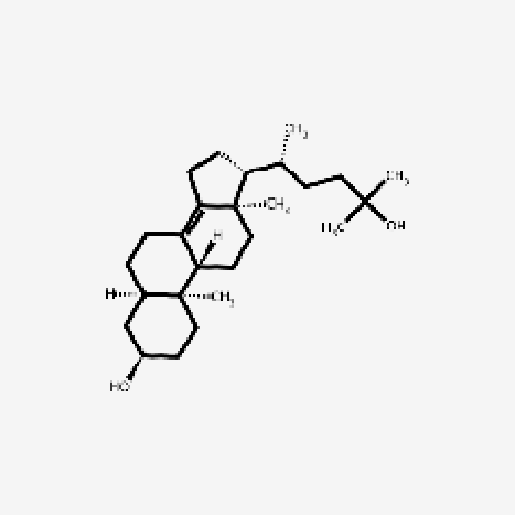 C[C@H](CCC(C)(C)O)[C@H]1CCC2=C3CC[C@@H]4C[C@H](O)CC[C@]4(C)[C@H]3CC[C@@]21C